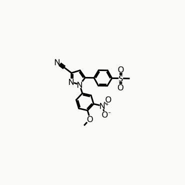 COc1ccc(-n2nc(C#N)cc2-c2ccc(S(C)(=O)=O)cc2)cc1[N+](=O)[O-]